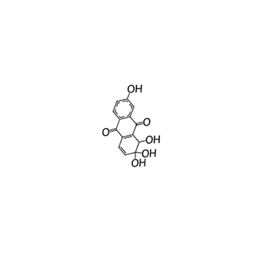 O=C1C2=C(C(=O)c3cc(O)ccc31)C(O)C(O)(O)C=C2